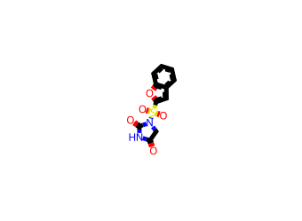 O=C1CN(S(=O)(=O)c2cc3ccccc3o2)C(=O)N1